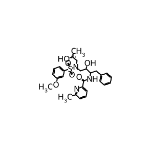 COc1cccc(S(=O)(=O)N(CC(O)C(Cc2ccccc2)NC(=O)c2cccc(C)n2)C[C@H](C)O)c1